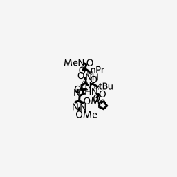 CCC[C@H](NC(=O)[C@@H]1CC2(CC(c3cnc(OC)nc3OC)=NO2)CN1C(=O)[C@@H](NC(=O)OC1CCCC1)C(C)(C)C)C(=O)C(=O)NC